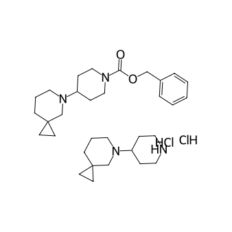 C1CN(C2CCNCC2)CC2(C1)CC2.Cl.Cl.O=C(OCc1ccccc1)N1CCC(N2CCCC3(CC3)C2)CC1